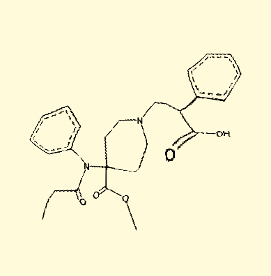 CCC(=O)N(c1ccccc1)C1(C(=O)OC)CCN(CC(C(=O)O)c2ccccc2)CC1